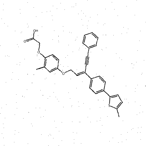 Cc1ccc(-c2ccc(/C(C#Cc3ccccc3)=C/COc3ccc(OCC(=O)O)c(C)c3)cc2)s1